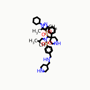 Cc1nn(C2CCCCC2)c(C)c1S(=O)(=O)C(N(CC(C)C)S(=O)(=O)c1ccc(CNCC2CCNCC2)cc1)C1(c2ccccc2)CCNCC1